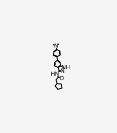 CN(C)c1ccc(-c2ccc3c(NC(=O)CC4CCCC4)n[nH]c3c2)cc1